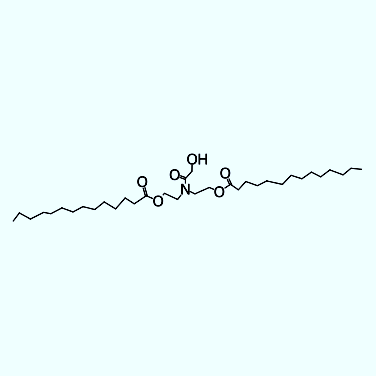 CCCCCCCCCCCCCC(=O)OCCN(CCOC(=O)CCCCCCCCCCCCC)C(=O)CO